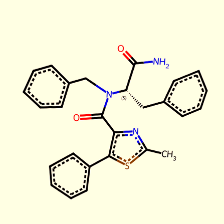 Cc1nc(C(=O)N(Cc2ccccc2)[C@@H](Cc2ccccc2)C(N)=O)c(-c2ccccc2)s1